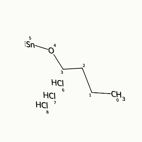 CCCC[O][Sn].Cl.Cl.Cl